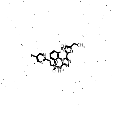 CCc1ccc(-c2nnc(NS(=O)(=O)CCc3ncc(F)cn3)n2-c2c(OC)cccc2OC)o1